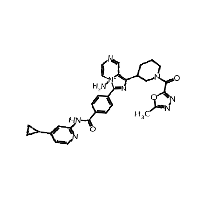 Cc1nnc(C(=O)N2CCCC(C3=C4C=NC=C[N+]4(N)C(c4ccc(C(=O)Nc5cc(C6CC6)ccn5)cc4)=N3)C2)o1